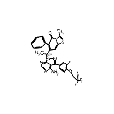 Cc1csc2cc([C@H](C)n3nc(-c4ccc(OCC(F)(F)I)c(F)c4)c4c(N)ncnc43)c(-c3ccccc3)c(=O)n12